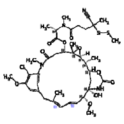 COc1cc2cc(c1Cl)N(C)C(=O)C[C@H](OC(=O)[C@H](C)N(C)C(=O)CCC(C)(C#N)SSC)[C@]1(C)O[C@H]1[C@H](C)[C@@H]1C[C@@](O)(NC(=O)O1)[C@H](OC)/C=C/C=C(\C)C2